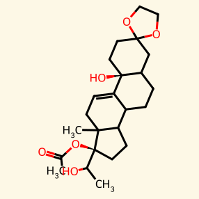 CC(=O)O[C@]1(C(C)O)CCC2C3CCC4CC5(CC[C@@]4(O)C3=CCC21C)OCCO5